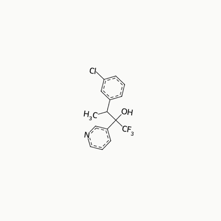 CC(c1cccc(Cl)c1)C(O)(c1cccnc1)C(F)(F)F